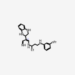 CCCc1cccc(NCCC(CC)N/C=C(\C=N)C2CNc3ccccc3N2)c1